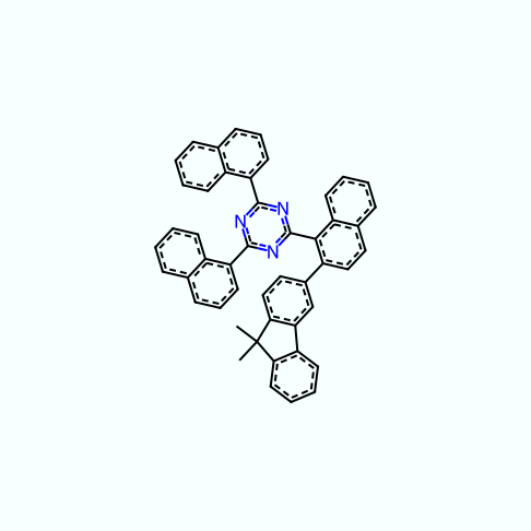 CC1(C)c2ccccc2-c2cc(-c3ccc4ccccc4c3-c3nc(-c4cccc5ccccc45)nc(-c4cccc5ccccc45)n3)ccc21